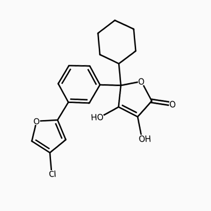 O=C1OC(c2cccc(-c3cc(Cl)co3)c2)(C2CCCCC2)C(O)=C1O